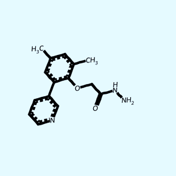 Cc1cc(C)c(OCC(=O)NN)c(-c2cccnc2)c1